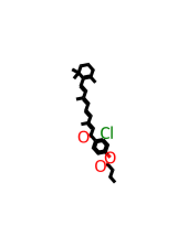 CCCC(=O)Oc1ccc(C(=O)/C=C(C)/C=C/C=C(C)/C=C/C2=C(C)CCCC2(C)C)c(Cl)c1